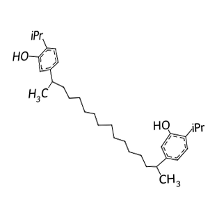 CC(C)c1ccc(C(C)CCCCCCCCCCCCC(C)c2ccc(C(C)C)c(O)c2)cc1O